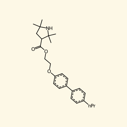 CCCc1ccc(-c2ccc(OCCOC(=O)C3CC(C)(C)NC3(C)C)cc2)cc1